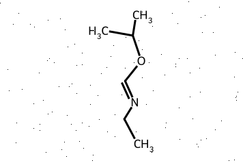 CCN=COC(C)C